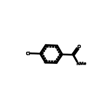 CNC(=O)c1c[c]c(Cl)cc1